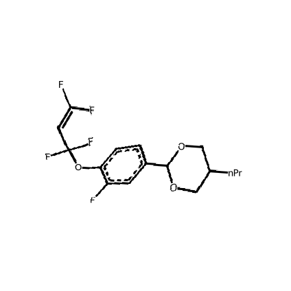 CCCC1COC(c2ccc(OC(F)(F)C=C(F)F)c(F)c2)OC1